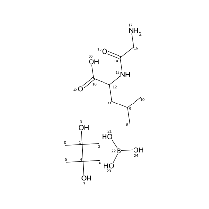 CC(C)(O)C(C)(C)O.CC(C)CC(NC(=O)CN)C(=O)O.OB(O)O